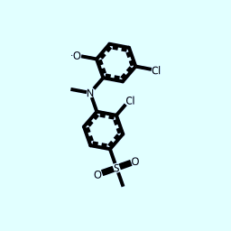 CN(c1cc(Cl)ccc1[O])c1ccc(S(C)(=O)=O)cc1Cl